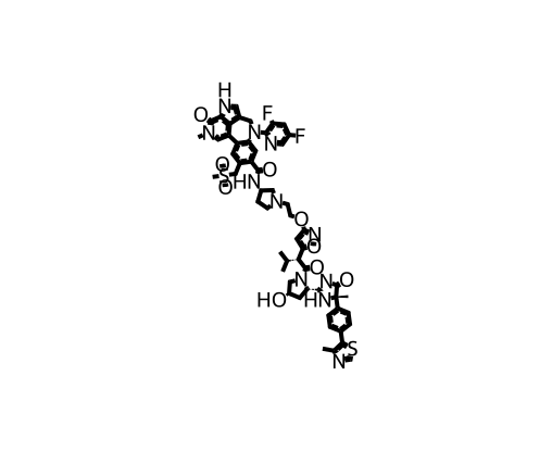 Cc1ncsc1-c1ccc([C@]2(C)NC([C@@H]3C[C@@H](O)CN3C(=O)[C@@H](c3cc(OCCN4CC[C@H](NC(=O)c5cc6c(cc5CS(C)(=O)=O)-c5cn(C)c(=O)c7[nH]cc(c57)CN6c5ncc(F)cc5F)C4)no3)C(C)C)=NC2=O)cc1